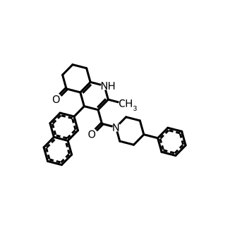 CC1=C(C(=O)N2CCC(c3ccccc3)CC2)C(c2ccc3ccccc3c2)C2=C(CCCC2=O)N1